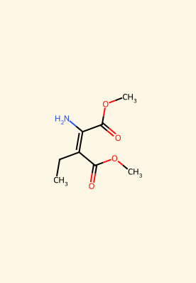 CCC(C(=O)OC)=C(N)C(=O)OC